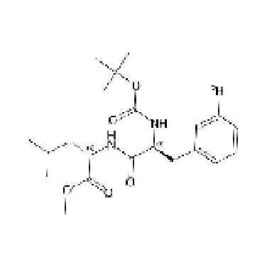 [2H]c1cccc(C[C@H](NC(=O)OC(C)(C)C)C(=O)N[C@@H](CC(C)C)C(=O)OC)c1